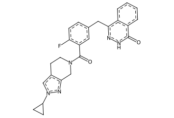 O=C(c1cc(Cc2n[nH]c(=O)c3ccccc23)ccc1F)N1CCc2cn(C3CC3)nc2C1